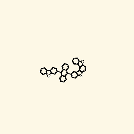 c1ccc2c(c1)oc1cc(-c3c4ccccc4c(-c4ccc5sc6ccc7oc8ccccc8c7c6c5c4)c4ccccc34)ccc12